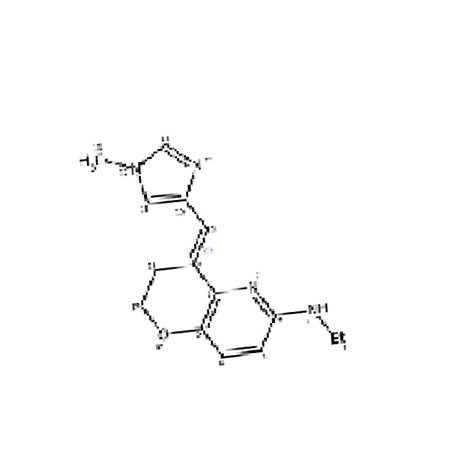 CCNc1ccc2c(n1)/C(=C/c1cn(C)cn1)CCO2